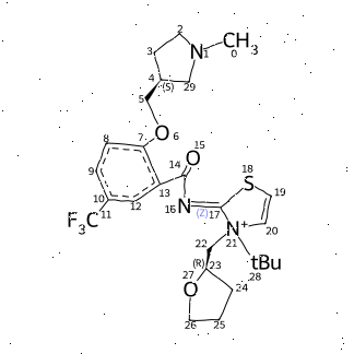 CN1CC[C@H](COc2ccc(C(F)(F)F)cc2C(=O)/N=C2\SC=C[N+]2(C[C@H]2CCCO2)C(C)(C)C)C1